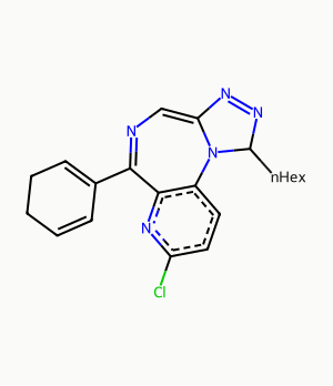 CCCCCCC1N=NC2=CN=C(C3=CCCC=C3)c3nc(Cl)ccc3N21